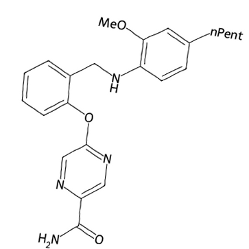 CCCCCc1ccc(NCc2ccccc2Oc2cnc(C(N)=O)cn2)c(OC)c1